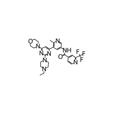 CCN1CCN(c2nc(-c3cc(NC(=O)c4ccnc(C(F)(F)F)c4)cnc3C)cc(N3CCOCC3)n2)CC1